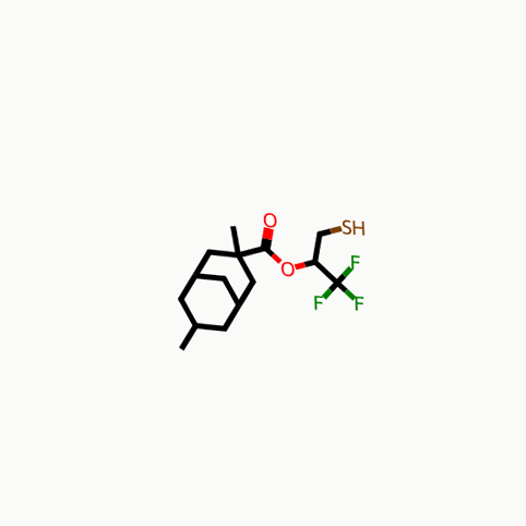 CC1CC2CC(C1)CC(C)(C(=O)OC(CS)C(F)(F)F)C2